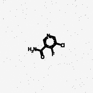 NC(=O)c1cncc(Cl)c1F